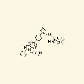 C[Si](C)(C)CCOCn1cncc1-c1ccc(C(=O)Nc2cnc(-c3ccccc3)n(CC(=O)O)c2=O)cc1